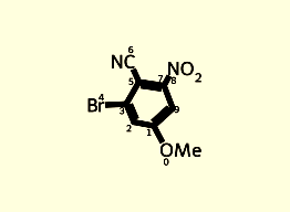 COc1cc(Br)c(C#N)c([N+](=O)[O-])c1